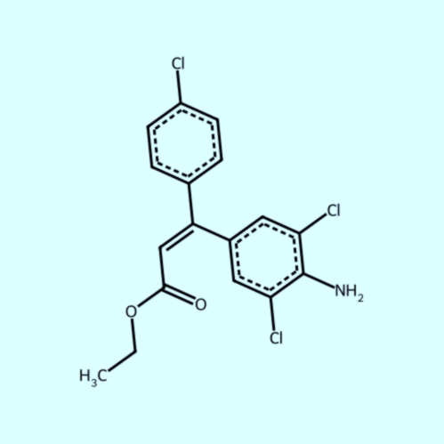 CCOC(=O)C=C(c1ccc(Cl)cc1)c1cc(Cl)c(N)c(Cl)c1